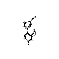 N#Cc1ccn(-c2ccc(F)cc2F)n1